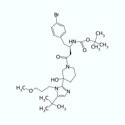 COCCCn1c(C(C)(C)C)cnc1C1(O)CCCN(C(=O)C[C@@H](Cc2ccc(Br)cc2)NC(=O)OC(C)(C)C)C1